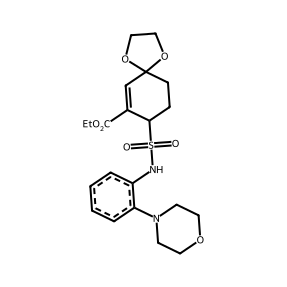 CCOC(=O)C1=CC2(CCC1S(=O)(=O)Nc1ccccc1N1CCOCC1)OCCO2